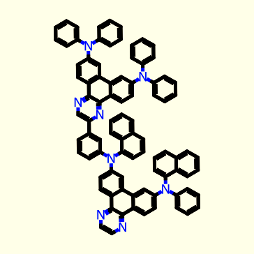 c1ccc(N(c2ccccc2)c2ccc3c(c2)c2cc(N(c4ccccc4)c4ccccc4)ccc2c2nc(-c4cccc(N(c5ccc6c(c5)c5cc(N(c7ccccc7)c7cccc8ccccc78)ccc5c5nccnc65)c5cccc6ccccc56)c4)cnc32)cc1